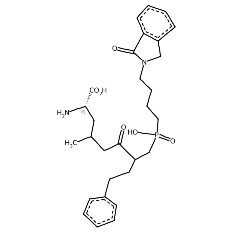 CC(CC(=O)C(CCc1ccccc1)CP(=O)(O)CCCCN1Cc2ccccc2C1=O)C[C@H](N)C(=O)O